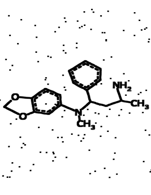 CC(N)CC(c1ccccc1)N(C)c1ccc2c(c1)OCO2